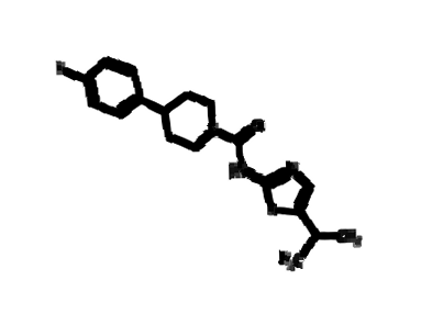 CC(C)c1cnc(NC(=O)N2CCC(c3ccc(F)cc3)CC2)s1